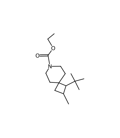 CCOC(=O)N1CCC2(CC1)CC(C)C2C(C)(C)C